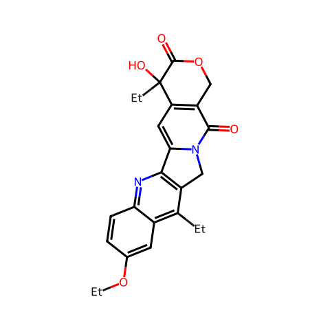 CCOc1ccc2nc3c(c(CC)c2c1)Cn1c-3cc2c(c1=O)COC(=O)C2(O)CC